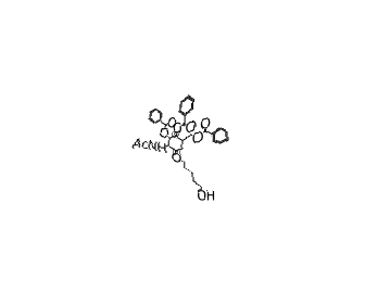 CC(=O)NC1C(OC(=O)c2ccccc2)[C@@H](OC(=O)c2ccccc2)C(COC(=O)c2ccccc2)C[C@H]1OCCCCCO